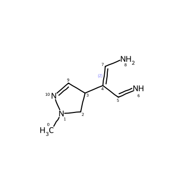 CN1CC(/C(C=N)=C/N)C=N1